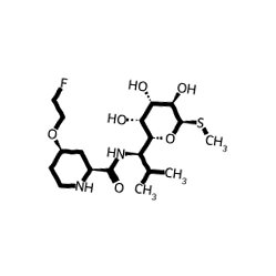 CS[C@H]1O[C@H]([C@H](NC(=O)[C@@H]2C[C@H](OCCF)CCN2)C(C)C)[C@H](O)[C@H](O)[C@H]1O